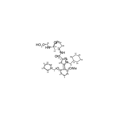 COc1cccc(OCc2ccccc2)c1-c1cc(C(=O)N[C@H](CC(=O)NCC(=O)O)CC(C)C)nn1CC1CCCCC1